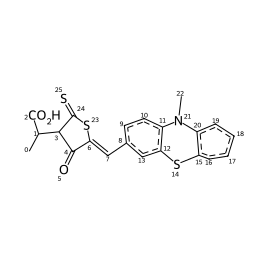 CC(C(=O)O)C1C(=O)C(=Cc2ccc3c(c2)Sc2ccccc2N3C)SC1=S